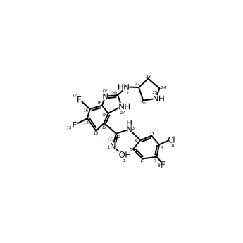 O/N=C(\Nc1ccc(F)c(Cl)c1)c1cc(F)c(F)c2nc(NC3CCNC3)[nH]c12